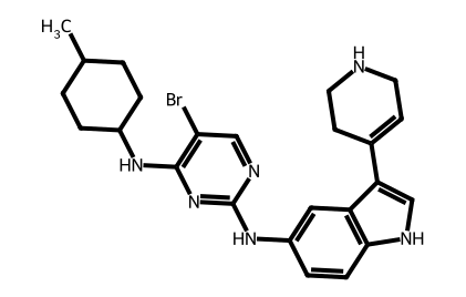 CC1CCC(Nc2nc(Nc3ccc4[nH]cc(C5=CCNCC5)c4c3)ncc2Br)CC1